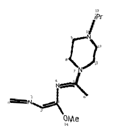 C=N/C=C(\N=C(/C)N1CCN(C(C)C)CC1)OC